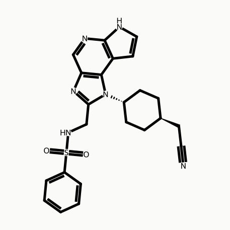 N#CC[C@H]1CC[C@H](n2c(CNS(=O)(=O)c3ccccc3)nc3cnc4[nH]ccc4c32)CC1